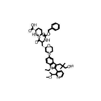 CCn1c(-c2cccnc2C(C)OC)c(CC(C)(C)CO)c2cc(N3CCO[C@@H](CC(NC(=O)OCc4ccccc4)C(=O)N4CCC[C@@H](C(=O)O)N4)C3)ccc21